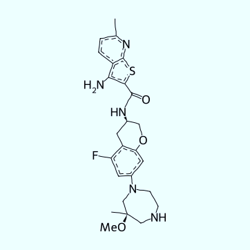 CO[C@]1(C)CNCCN(c2cc(F)c3c(c2)OC[C@H](NC(=O)c2sc4nc(C)ccc4c2N)C3)C1